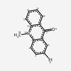 CCc1ccc2c(c1)c(=O)c1ccccc1n2C